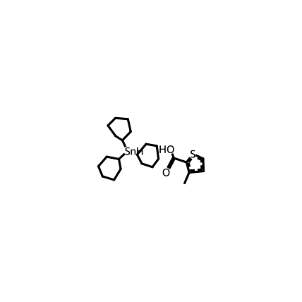 C1CC[CH]([SnH]([CH]2CCCCC2)[CH]2CCCCC2)CC1.Cc1ccsc1C(=O)O